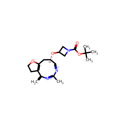 C=C1/N=C(C)\N=C/[C@@H](OC2CN(C(=O)OC(C)(C)C)C2)CC2=C1CCO2